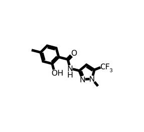 Cc1ccc(C(=O)Nc2cc(C(F)(F)F)n(C)n2)c(O)c1